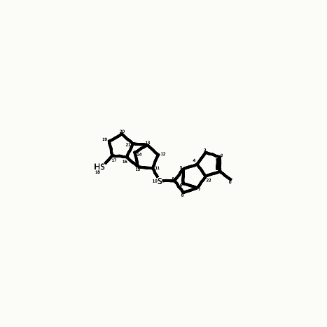 CC1=CCC2C3CC(CC3SC3CC4CC3C3C(S)CCC43)C12